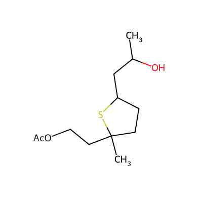 CC(=O)OCCC1(C)CCC(CC(C)O)S1